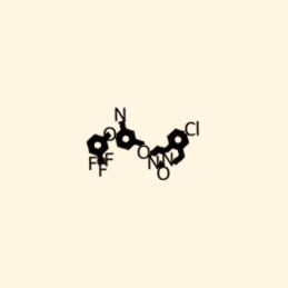 N#Cc1cc(COc2cc3n(c(=O)n2)CCc2cc(Cl)ccc2-3)ccc1Oc1cccc(C(F)(F)F)c1